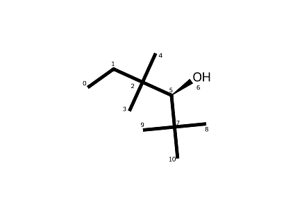 CCC(C)(C)[C@@H](O)C(C)(C)C